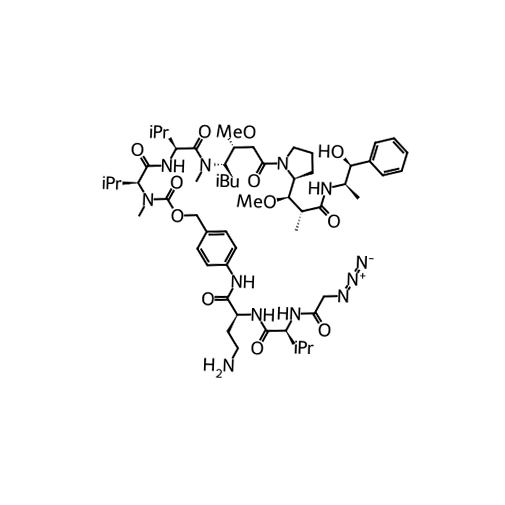 CC[C@H](C)[C@@H]([C@@H](CC(=O)N1CCC[C@H]1[C@H](OC)[C@@H](C)C(=O)N[C@H](C)[C@@H](O)c1ccccc1)OC)N(C)C(=O)[C@@H](NC(=O)[C@H](C(C)C)N(C)C(=O)OCc1ccc(NC(=O)[C@H](CCN)NC(=O)[C@@H](NC(=O)CN=[N+]=[N-])C(C)C)cc1)C(C)C